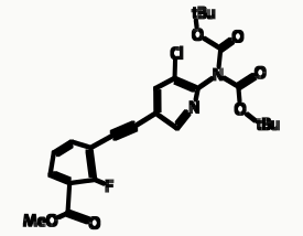 COC(=O)c1cccc(C#Cc2cnc(N(C(=O)OC(C)(C)C)C(=O)OC(C)(C)C)c(Cl)c2)c1F